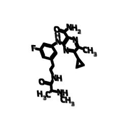 CN[C@@H](C)C(=O)NCCc1cc(F)cc(Nc2nc(C3CC3)c(C)nc2C(N)=O)c1